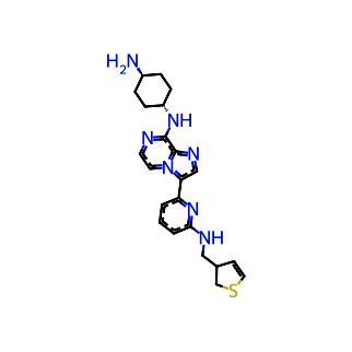 N[C@H]1CC[C@H](Nc2nccn3c(-c4cccc(NCC5C=CSC5)n4)cnc23)CC1